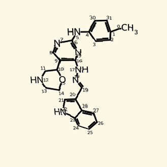 Cc1ccc(Nc2ncc(C3CNCCO3)c(NN=Cc3c[nH]c4ccccc34)n2)cc1